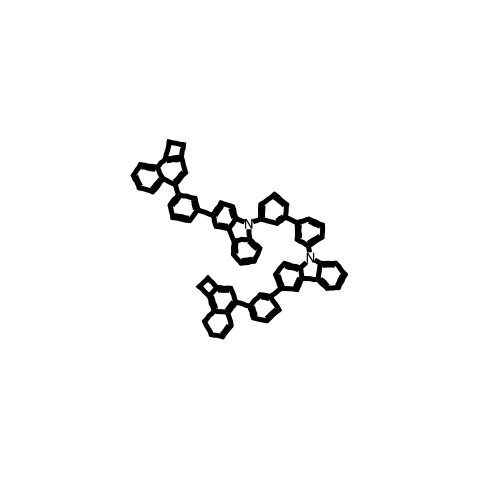 C1=Cc2c(-c3cccc(-c4ccc5c(c4)c4ccccc4n5-c4cccc(-c5cccc(-n6c7ccccc7c7cc(-c8cccc(-c9cc%10c(c%11ccccc9%11)CC%10)c8)ccc76)c5)c4)c3)cc3c(c2CC1)CC3